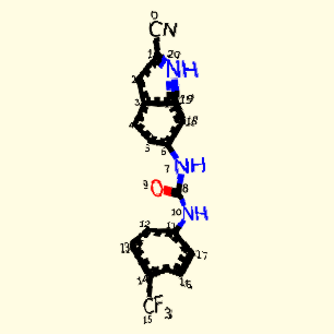 N#Cc1cc2ccc(NC(=O)Nc3ccc(C(F)(F)F)cc3)cc2[nH]1